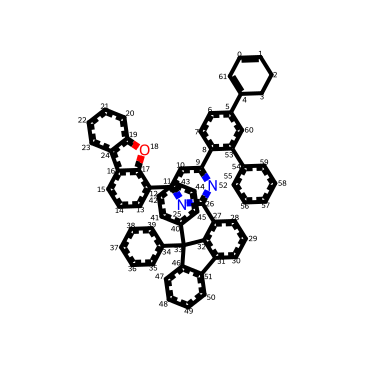 C1=CCCC(c2ccc(-c3cc(-c4cccc5c4oc4ccccc45)nc(-c4cccc5c4C(c4ccccc4)(c4ccccc4)c4ccccc4-5)n3)c(-c3ccccc3)c2)=C1